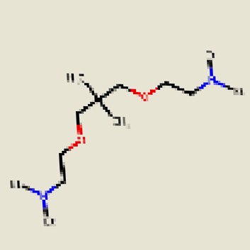 CCN(CC)CCOCC(C)(C)COCCN(CC)CC